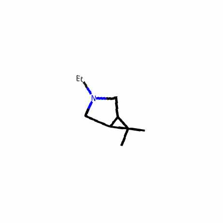 CCN1CC2C(C1)C2(C)C